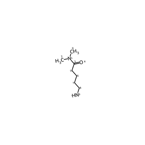 CN(C)C(=O)CCCC[NH]